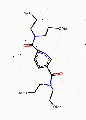 COCCN(CCOC)C(=O)c1ccc(C(=O)N(CCOC)CCOC)nc1